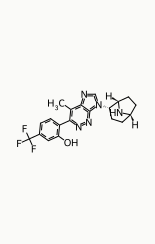 Cc1c(-c2ccc(C(F)(F)F)cc2O)nnc2c1ncn2[C@H]1CC[C@H]2CC[C@@H]1N2